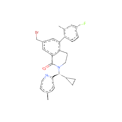 Cc1ccnc([C@H](C2CC2)N2CCc3c(cc(CBr)cc3-c3ccc(F)cc3C)C2=O)c1